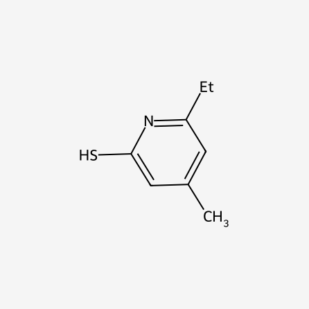 CCc1cc(C)cc(S)n1